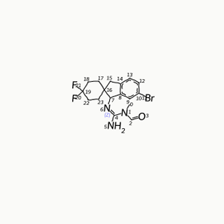 CN(C=O)/C(N)=N\C1c2cc(Br)ccc2CC12CCC(F)(F)CC2